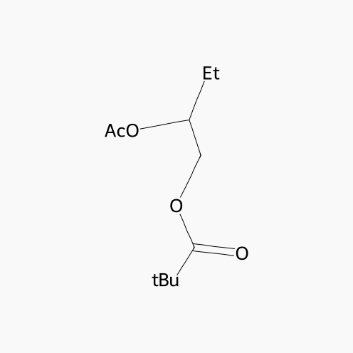 CCC(COC(=O)C(C)(C)C)OC(C)=O